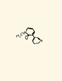 Cn1cccc(C2=CCCN=C2)c1=O